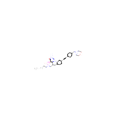 CNCCNCC(Cc1ccc(C#Cc2ccc(CN3CCOCC3)cc2)cc1)c1nc[nH]c(=O)c1O